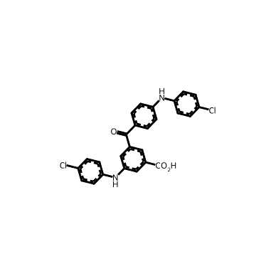 O=C(O)c1cc(Nc2ccc(Cl)cc2)cc(C(=O)c2ccc(Nc3ccc(Cl)cc3)cc2)c1